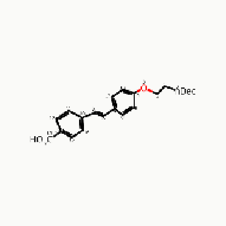 CCCCCCCCCCCCOc1ccc(C=Cc2ccc(C(=O)O)cc2)cc1